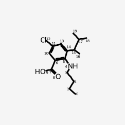 CCCCNc1c(C(=O)O)cc(Cl)cc1C(C)C(C)C